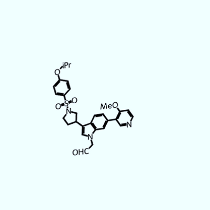 COc1ccncc1-c1ccc2c(C3CCN(S(=O)(=O)c4ccc(OC(C)C)cc4)C3)cn(CC=O)c2c1